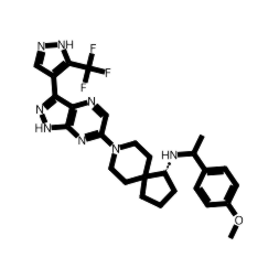 COc1ccc(C(C)N[C@@H]2CCCC23CCN(c2cnc4c(-c5cn[nH]c5C(F)(F)F)n[nH]c4n2)CC3)cc1